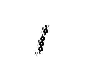 COc1ccc(-c2ccc(-c3ccc(OCc4ccc(C5CO5)c(F)c4F)cc3)c(F)c2F)cc1